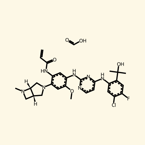 C=CC(=O)Nc1cc(Nc2nccc(Nc3cc(Cl)c(F)cc3C(C)(C)O)n2)c(OC)cc1N1C[C@@H]2CN(C)[C@@H]2C1.O=CO